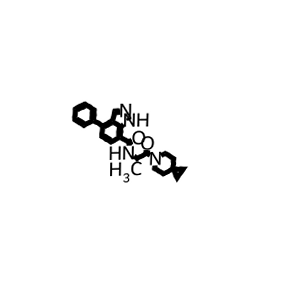 C[C@@H](NC(=O)c1ccc(-c2ccccc2)c2cn[nH]c12)C(=O)N1CCC2(CC1)CC2